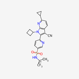 C[C@H](NS(=O)(=O)c1ccc(-c2c(C#N)c3ccc(C4CC4)nc3n2C2CCC2)nc1)C(F)(F)F